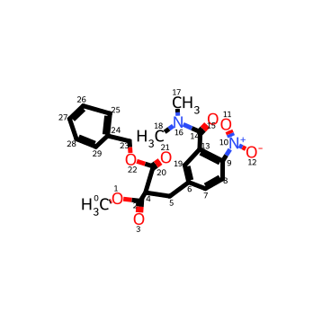 COC(=O)C(Cc1ccc([N+](=O)[O-])c(C(=O)N(C)C)c1)C(=O)OCc1ccccc1